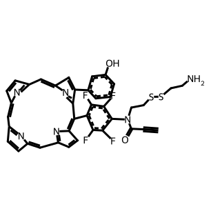 C#CC(=O)N(CCSSCCN)c1c(F)c(F)c(C2=C3C=CC(=N3)C=C3C=CC(=N3)C=C3C=CC(=N3)C=C3C=C(c4cccc(O)c4)C2=N3)c(F)c1F